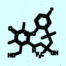 COc1ccc(F)cc1C(C)(C)CC(O)(CNn1cc(C)c(=O)c(C)c1CO)C(F)(F)F